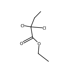 CCOC(=O)C(Cl)(Cl)CC